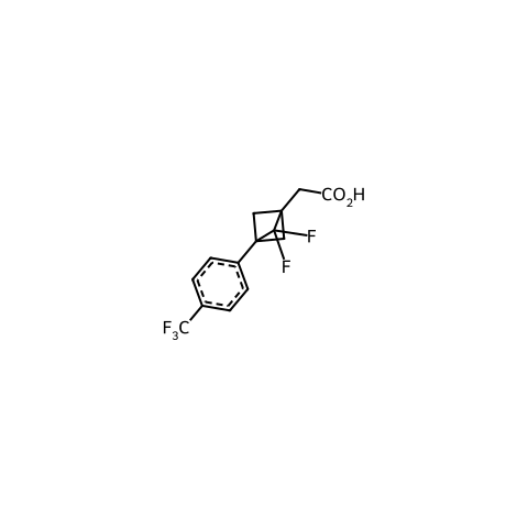 O=C(O)CC12CC(c3ccc(C(F)(F)F)cc3)(C1)C2(F)F